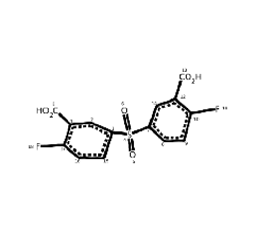 O=C(O)c1cc(S(=O)(=O)c2ccc(F)c(C(=O)O)c2)ccc1F